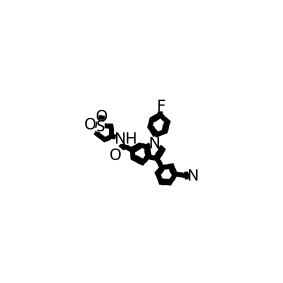 N#Cc1cccc(-c2cn(-c3ccc(F)cc3)c3cc(C(=O)NC4CCS(=O)(=O)C4)ccc23)c1